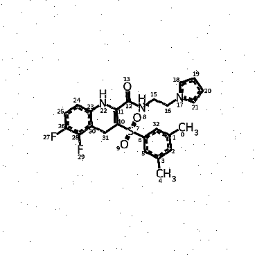 Cc1cc(C)cc(S(=O)(=O)C2=C(C(=O)NCCn3cccc3)Nc3ccc(F)c(F)c3C2)c1